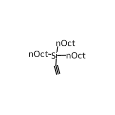 C#C[Si](CCCCCCCC)(CCCCCCCC)CCCCCCCC